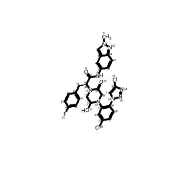 Cn1cc2cc(NC(=O)[C@H](Cc3ccc(F)cc3)N3CC(O)N(c4cc(Cl)ccc4-n4cc(Cl)nn4)CC3=O)ccc2n1